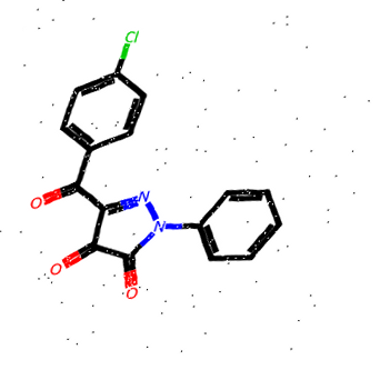 O=C1C(=O)N(c2ccccc2)N=C1C(=O)c1ccc(Cl)cc1